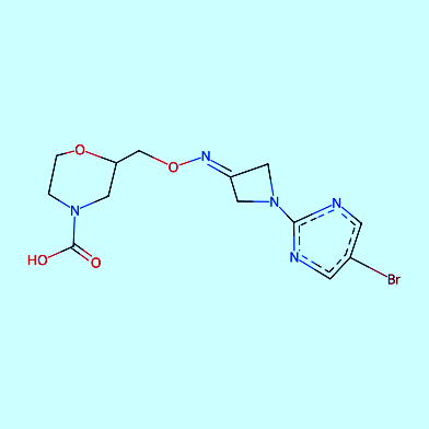 O=C(O)N1CCOC(CON=C2CN(c3ncc(Br)cn3)C2)C1